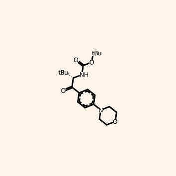 CC(C)(C)OC(=O)N[C@H](C(=O)c1ccc(N2CCOCC2)cc1)C(C)(C)C